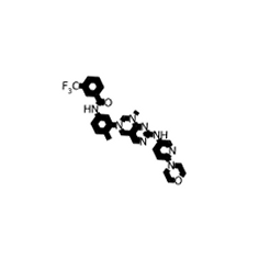 Cc1ccc(NC(=O)c2cccc(C(F)(F)F)c2)cc1N1Cc2cnc(Nc3ccc(N4CCOCC4)nc3)nc2N(C)C1